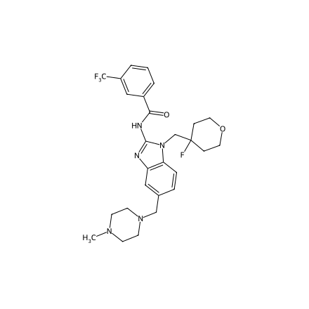 CN1CCN(Cc2ccc3c(c2)nc(NC(=O)c2cccc(C(F)(F)F)c2)n3CC2(F)CCOCC2)CC1